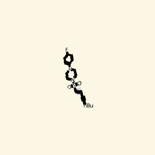 CCCCC#C/C=C/S(=O)(=O)N1CCN(c2ccc(F)cc2)CC1